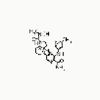 CN(C)C(=O)N1CC[C@@H]2[C@H]1CCCN2c1cnc(C(N)=O)c(Nc2cnn(C)c2)n1